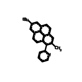 Cc1cc2ccc3cc(C(C)(C)C)cc4ccc(c1-c1ccccn1)c2c34